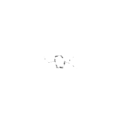 CN(C)c1ccc(CI)cc1